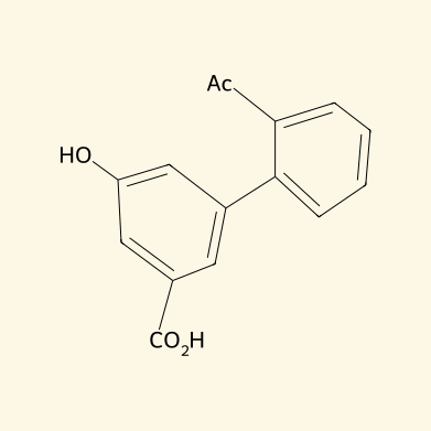 CC(=O)c1ccccc1-c1cc(O)cc(C(=O)O)c1